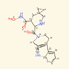 O=C(NO)C1CC2(CC2)CNC1C(=O)N1CCc2c([nH]c3ccccc23)C1